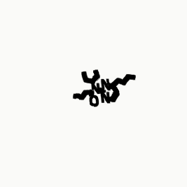 CCCCc1ccnc(N(C(=O)CCC)C(CC)CC)n1